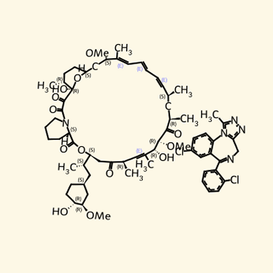 CO[C@H]1C[C@@H]2CC[C@@H](C)[C@@](O)(O2)C(=O)C(=O)N2CCCC[C@H]2C(=O)O[C@H]([C@@H](C)C[C@@H]2CC[C@@H](O)[C@H](OC)C2)CC(=O)[C@H](C)/C=C(\C)[C@@H](O)[C@@H](OC)C(=O)[C@H](C)C[C@H](C)/C=C/C=C/C=C/1C.Cc1nnc2n1-c1ccc(Cl)cc1C(c1ccccc1Cl)=NC2